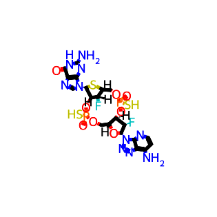 Nc1nc2c(ncn2[C@@H]2S[C@@H]3COP(=O)(S)O[C@H]4[C@H](F)[C@H](n5nnc6c(N)ccnc65)O[C@@H]4COP(=O)(S)O[C@@H]2[C@H]3F)c(=O)[nH]1